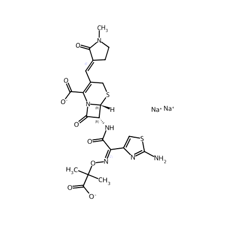 CN1CC/C(=C\C2=C(C(=O)[O-])N3C(=O)[C@@H](NC(=O)/C(=N\OC(C)(C)C(=O)[O-])c4csc(N)n4)[C@H]3SC2)C1=O.[Na+].[Na+]